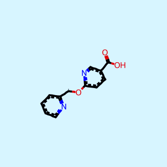 O=C(O)c1ccc(O[CH]c2ccccn2)nc1